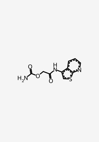 NC(=O)OCC(=O)Nc1csc2ncccc12